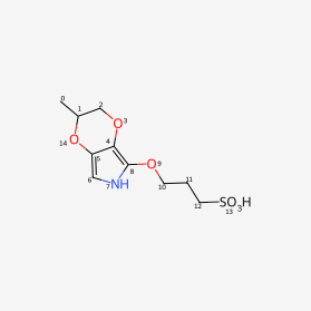 CC1COc2c(c[nH]c2OCCCS(=O)(=O)O)O1